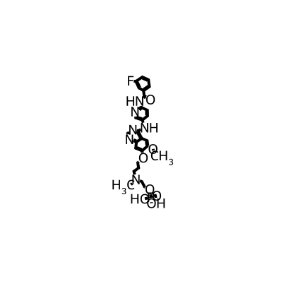 COc1cc2c(Nc3ccc(NC(=O)c4cccc(F)c4)nc3)ncnc2cc1OCCCN(C)CCOP(=O)(O)O